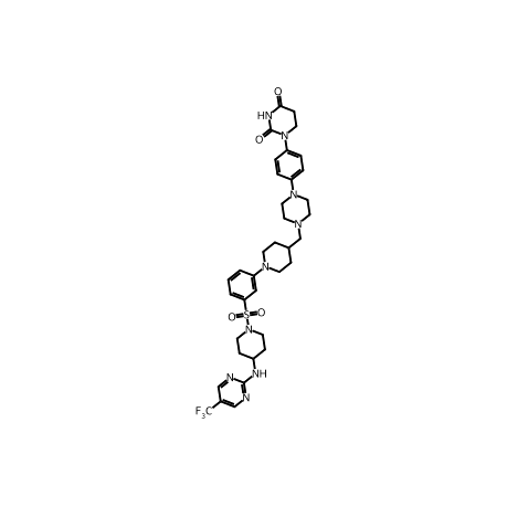 O=C1CCN(c2ccc(N3CCN(CC4CCN(c5cccc(S(=O)(=O)N6CCC(Nc7ncc(C(F)(F)F)cn7)CC6)c5)CC4)CC3)cc2)C(=O)N1